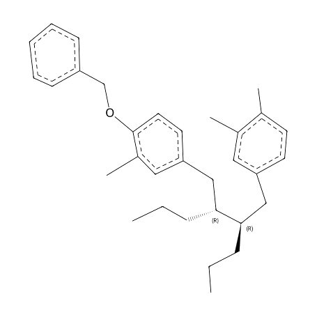 CCC[C@H](Cc1ccc(C)c(C)c1)[C@H](CCC)Cc1ccc(OCc2ccccc2)c(C)c1